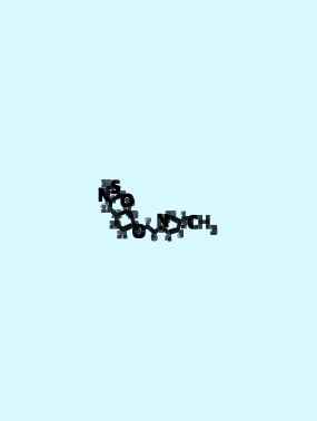 CCc1ccc(CCOc2ccc(CC3N=CSC3=O)cc2)nc1